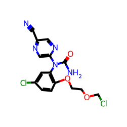 N#Cc1cnc(N(C(N)=O)c2cc(Cl)ccc2OCCOCCl)cn1